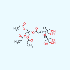 C=CC(=O)OCC(COC(=O)C=C)(COC(=O)C=C)COC(=O)C=C.CCC(CO)(CO)CO.CCC(CO)(CO)CO